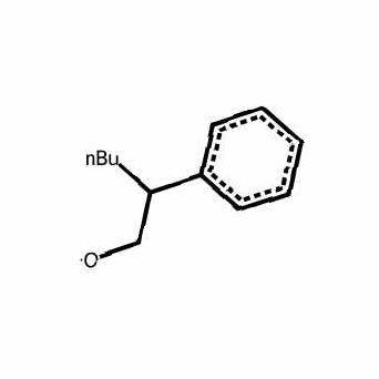 CCCCC(C[O])c1ccccc1